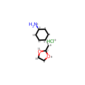 Cl.N[C@H]1CC[C@H](CC2OCCO2)CC1